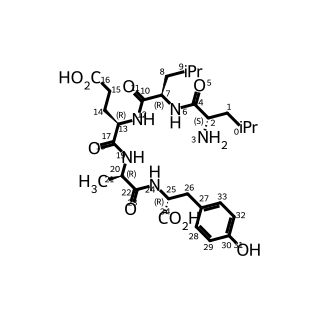 CC(C)C[C@H](N)C(=O)N[C@H](CC(C)C)C(=O)N[C@H](CCC(=O)O)C(=O)N[C@H](C)C(=O)N[C@H](Cc1ccc(O)cc1)C(=O)O